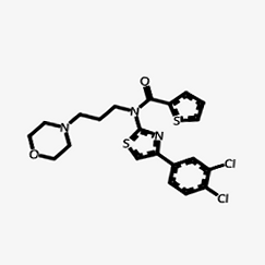 O=C(c1cccs1)N(CCCN1CCOCC1)c1nc(-c2ccc(Cl)c(Cl)c2)cs1